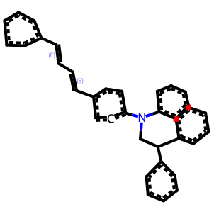 C(/C=C/c1ccc(N(CC(c2ccccc2)c2ccccc2)c2ccccc2)cc1)=C\c1ccccc1